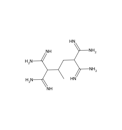 CC(CC(C(=N)N)C(=N)N)C(C(=N)N)C(=N)N